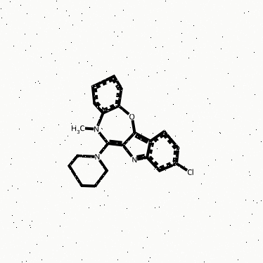 CN1C(N2CCCCC2)=C2N=c3cc(Cl)ccc3=C2Oc2ccccc21